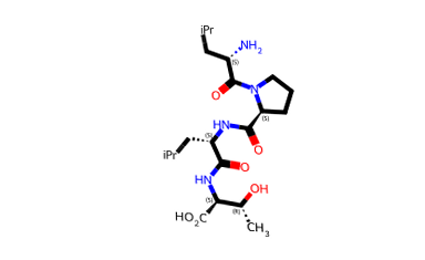 CC(C)C[C@H](NC(=O)[C@@H]1CCCN1C(=O)[C@@H](N)CC(C)C)C(=O)N[C@H](C(=O)O)[C@@H](C)O